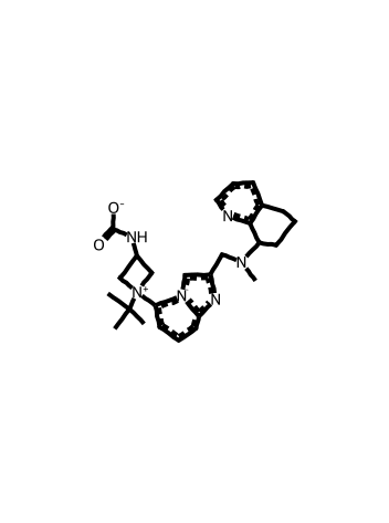 CN(Cc1cn2c([N+]3(C(C)(C)C)CC(NC(=O)[O-])C3)cccc2n1)C1CCCc2cccnc21